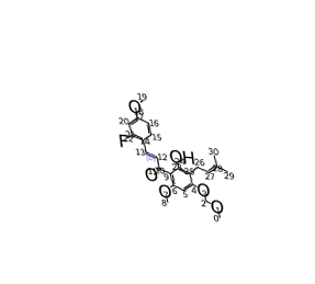 COCOc1cc(OC)c(C(=O)/C=C/c2ccc(OC)cc2F)c(O)c1CC=C(C)C